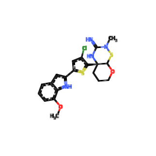 COc1cccc2cc(-c3cc(Cl)c([C@]45CCCOC4SN(C)C(=N)N5)s3)[nH]c12